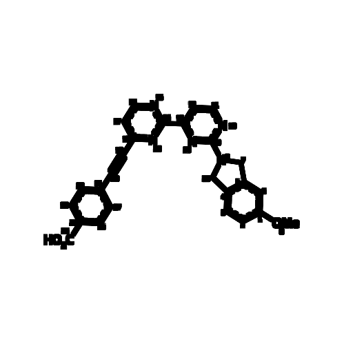 COc1ccc2c(c1)CN(c1nccc(-c3nccc(C#Cc4ccc(C(=O)O)cc4)n3)n1)C2